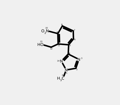 Cn1cnc(-c2cccc([N+](=O)[O-])c2CO)n1